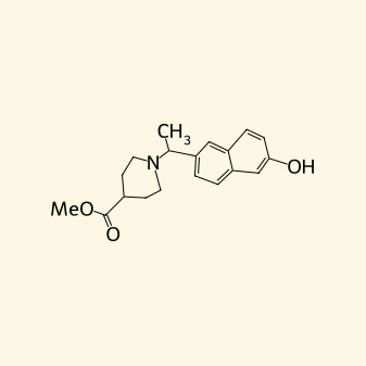 COC(=O)C1CCN(C(C)c2ccc3cc(O)ccc3c2)CC1